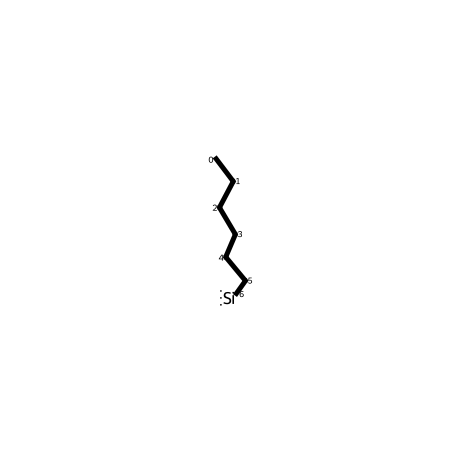 CCCCCC[Si]